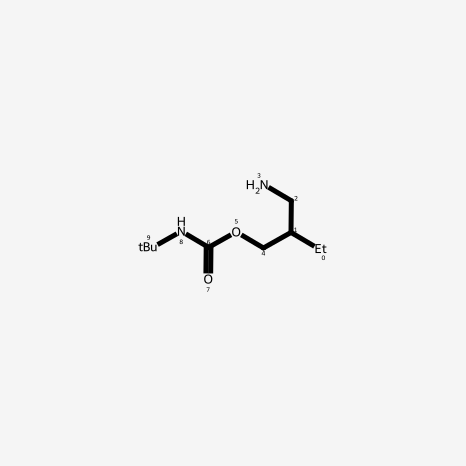 CCC(CN)COC(=O)NC(C)(C)C